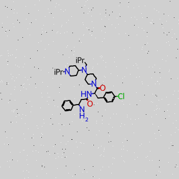 CC(C)CN(C1CCN(C(=O)[C@@H](Cc2ccc(Cl)cc2)NC(=O)CC(N)c2ccccc2)CC1)C1CCN(C(C)C)CC1